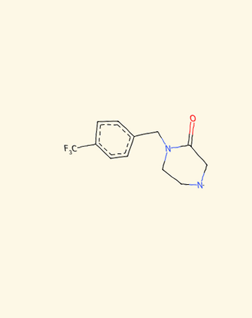 O=C1C[N]CCN1Cc1ccc(C(F)(F)F)cc1